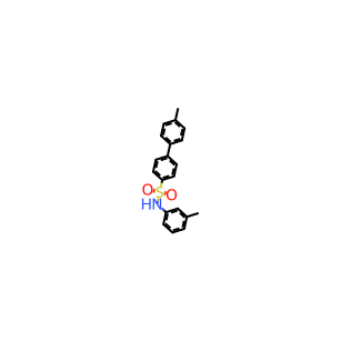 Cc1ccc(-c2ccc(S(=O)(=O)Nc3cccc(C)c3)cc2)cc1